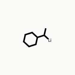 [Li][CH](C)C1CCCCC1